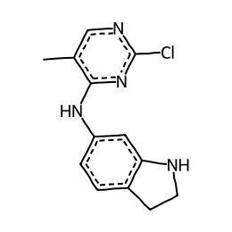 Cc1cnc(Cl)nc1Nc1ccc2c(c1)NCC2